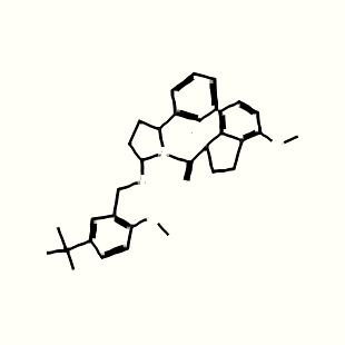 COc1ccc(C(C)(C)C)cc1CNC1CCC(c2ccccc2)N1C(=O)[C@]1(C)CCc2c(OC)cccc21